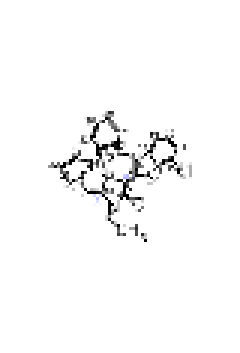 CCn1c(=O)/c(=C2\Sc3c(Cl)cccc3N2C)s/c1=C\c1scc[n+]1Cc1ccccc1